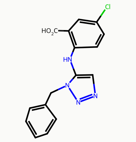 O=C(O)c1cc(Cl)ccc1Nc1cnnn1Cc1ccccc1